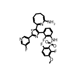 COc1ccc(F)c(S(=O)(=O)Nc2cccc(-c3nc(-c4cncc(F)c4)sc3C3=N/C(N)=C\CC/C=C\3)c2F)c1F